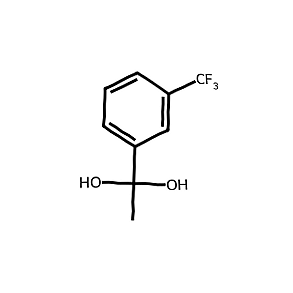 CC(O)(O)c1cccc(C(F)(F)F)c1